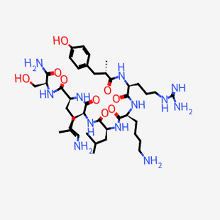 CC(C)C[C@H](NC(=O)[C@H](CC(C)C)NC(=O)[C@H](CCCCN)NC(=O)[C@H](CCCNC(=N)N)NC(=O)[C@@H](C)Cc1ccc(O)cc1)C(=O)N[C@@H](CCCCN)C(=O)N[C@@H](CO)C(N)=O